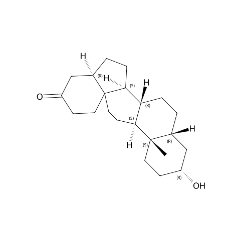 C[C@]12CC[C@@H](O)C[C@H]1CC[C@H]1[C@@H]3CC[C@@H]4CC(=O)CCC43CC[C@@H]12